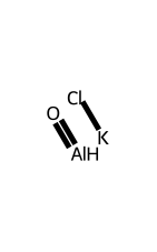 [Cl][K].[O]=[AlH]